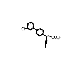 CC#CC(CC(=O)O)c1ccc(-c2cccc(Cl)c2)cc1